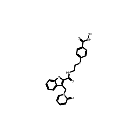 O=C(NO)c1ccc(OCCNC(=O)c2oc3ccccc3c2Cn2ccccc2=O)cc1